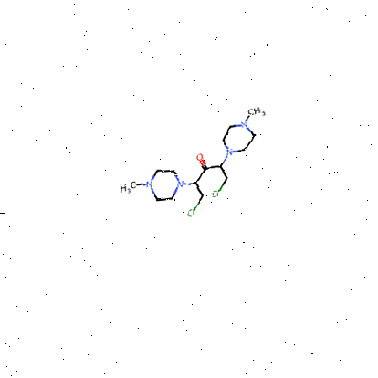 CN1CCN(C(CCl)C(=O)C(CCl)N2CCN(C)CC2)CC1